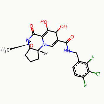 C[C@H]1CN2C(=O)C3=C(O)C(O)C(C(=O)NCc4ccc(F)c(Cl)c4F)=CN3[C@@H]3CCCC32O1